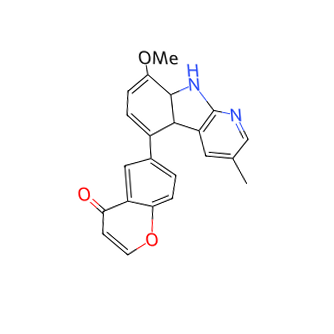 COC1=CC=C(c2ccc3occc(=O)c3c2)C2c3cc(C)cnc3NC12